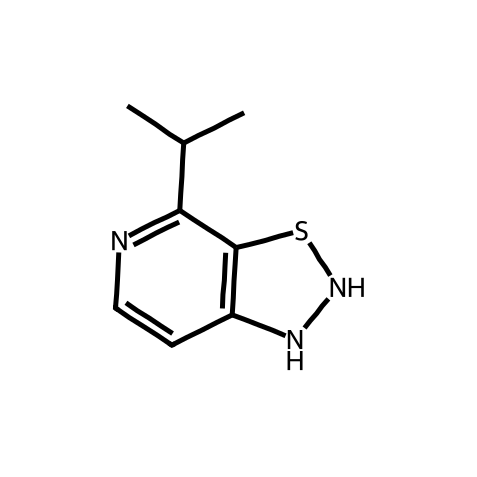 CC(C)c1nccc2c1SNN2